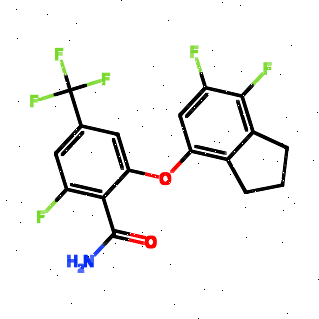 NC(=O)c1c(F)cc(C(F)(F)F)cc1Oc1cc(F)c(F)c2c1CCC2